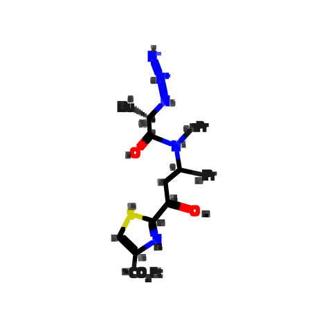 CCCN(C(=O)[C@@H](N=[N+]=[N-])C(C)CC)C(CC(=O)c1nc(C(=O)OCC)cs1)C(C)C